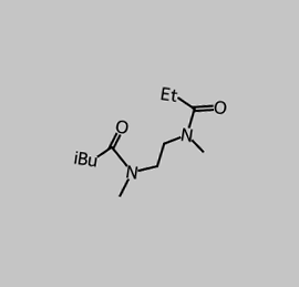 CCC(=O)N(C)CCN(C)C(=O)C(C)CC